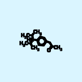 CC(=O)Cc1ccc([SiH](C(C)C)C(C)C)cc1